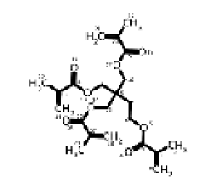 C=C(C)C(=O)OCCC(COC(=O)C(=C)C)(COC(=O)C(=C)C)COC(=O)C(=C)C